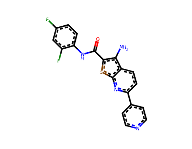 Nc1c(C(=O)Nc2ccc(F)cc2F)sc2nc(-c3ccncc3)ccc12